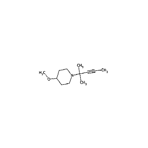 CC#CC(C)(C)N1CCC(OC)CC1